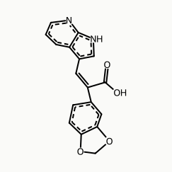 O=C(O)C(=Cc1c[nH]c2ncccc12)c1ccc2c(c1)OCO2